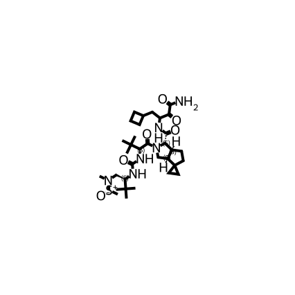 CN(C[C@@H](NC(=O)N[C@H](C(=O)N1C[C@H]2[C@H](CCC23CC3)[C@H]1C(=O)NC(CC1CCC1)C(=O)C(N)=O)C(C)(C)C)C(C)(C)C)[S+](C)[O-]